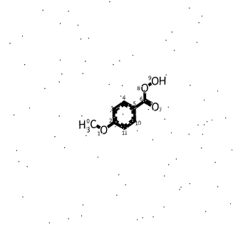 COc1ccc(C(=O)OO)cc1